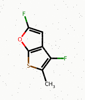 Cc1sc2oc(F)cc2c1F